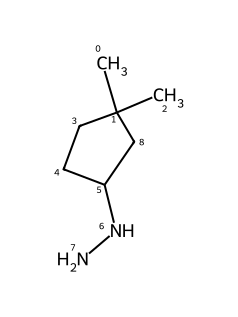 CC1(C)CCC(NN)C1